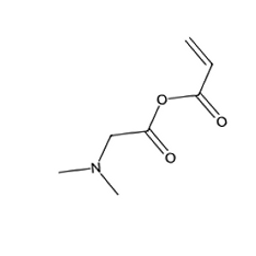 C=CC(=O)OC(=O)CN(C)C